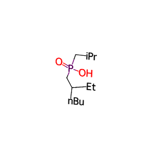 CCCCC(CC)CP(=O)(O)CC(C)C